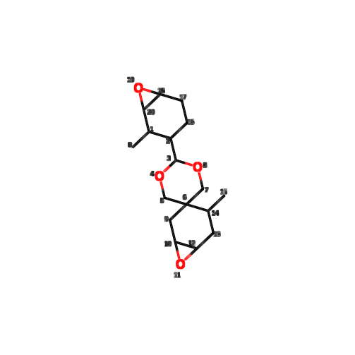 CC1C(C2OCC3(CO2)CC2OC2CC3C)CCC2OC21